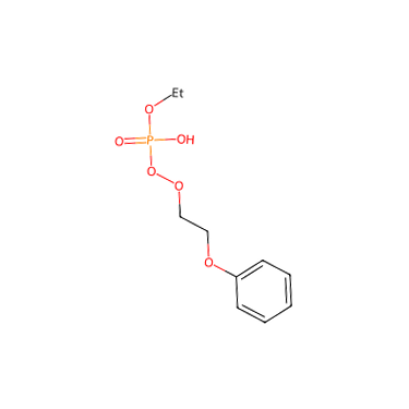 CCOP(=O)(O)OOCCOc1ccccc1